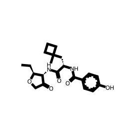 CC[C@@H]1OCC(=O)[C@H]1NC(=O)[C@H](CC1(C)CCC1)NC(=O)c1ccc(O)cc1